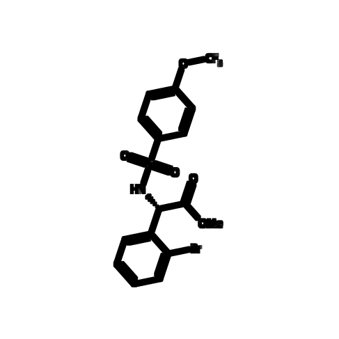 COC(=O)[C@@H](NS(=O)(=O)c1ccc(OC(F)(F)F)cc1)c1ccccc1Br